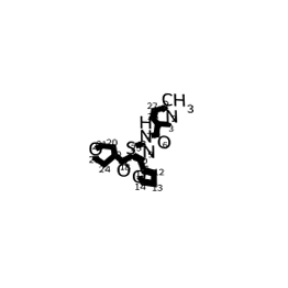 CC1=NCC(C(=O)Nc2nc(-c3ccco3)c(C(=O)C3CCOCC3)s2)C=C1